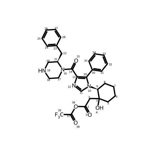 O=C(CC1(O)CCCC[C@@H]1n1cnc(C(=O)N2CCNC[C@H]2Cc2ccccc2)c1-c1ccccc1)OC(=O)C(F)(F)F